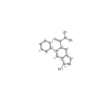 CCN(CC)C(=O)c1nc2cnn(CC)c2nc1-c1ccccc1